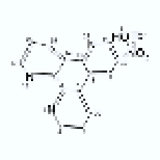 O=[N+]([O-])O.[Tb].c1cncc(-c2cccnc2-c2cccnc2)c1